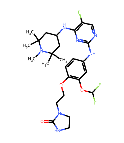 CN1C(C)(C)CC(Nc2nc(Nc3ccc(OCCN4CCNC4=O)c(OC(F)F)c3)ncc2F)CC1(C)C